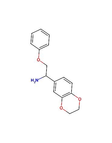 NC(COc1ccccc1)c1ccc2c(c1)OCCO2